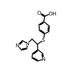 O=C(O)c1ccc(SC(Cn2ccnc2)c2cccnc2)cc1